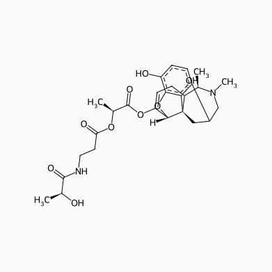 C[C@H](O)C(=O)NCCC(=O)O[C@@H](C)C(=O)OC1=CC[C@@]2(O)[C@@H](C)N(C)CC3C[C@@]24c2c3ccc(O)c2O[C@@H]14